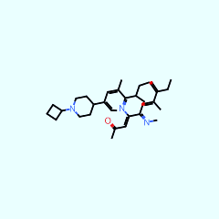 C=C(CC)/C(C)=C/C(=N\C)C(=C/C(C)=O)/N=C(/C(C)=C\C(=C/C)C1CCN(C2CCC2)CC1)C(C)CC